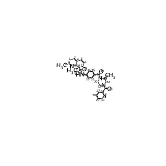 CC1CC=C2C=CCC(C)(S(=O)(=O)Nc3ccc(C(=O)N4CCN(C(=O)c5ccccn5)C[C@H]4C)cc3)C2=N1